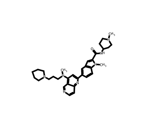 CN1CCC(NC(=O)c2cc3cc(-c4cc(N(C)CCCN5CCCCC5)c5cnccc5n4)ccc3n2C)CC1